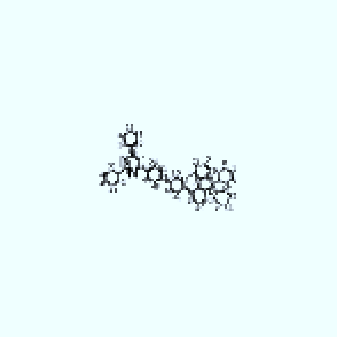 C1=CC(C2(c3ccccc3)c3ccccc3-c3c(-c4ccc(-c5ccc(-c6cc(-c7ccccc7)nc(-c7ccccc7)n6)cc5)cc4)cccc32)=CCC1